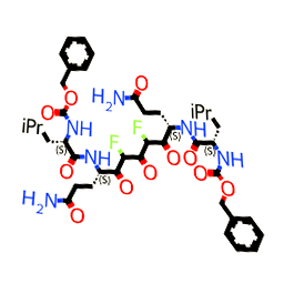 CC(C)C[C@H](NC(=O)OCc1ccccc1)C(=O)N[C@@H](CCC(N)=O)C(=O)C(F)C(=O)C(F)C(=O)[C@H](CCC(N)=O)NC(=O)[C@H](CC(C)C)NC(=O)OCc1ccccc1